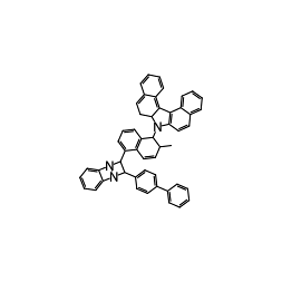 CC1C=Cc2c(cccc2C2C(c3ccc(-c4ccccc4)cc3)n3c4ccccc4n32)C1N1c2ccc3ccccc3c2C2=c3ccccc3=CCC21